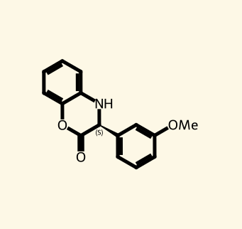 COc1cccc([C@@H]2Nc3ccccc3OC2=O)c1